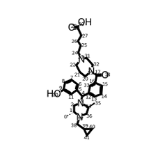 C[C@@H]1CN(C(c2cccc(O)c2)c2cccc(C(=O)N3CCCN(CCCCC(=O)O)CC3)c2)[C@@H](C)CN1CC1CC1